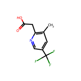 Cc1cc(C(F)(F)F)cnc1CC(=O)O